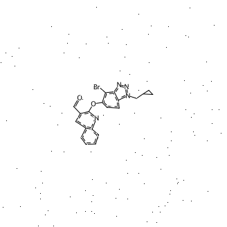 O=Cc1cc2ccccc2nc1Oc1ccc2c(nnn2CC2CC2)c1Br